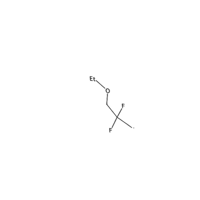 [CH2]C(F)(F)COCC